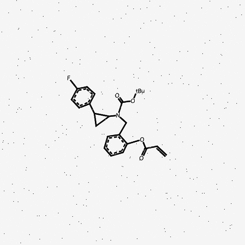 C=CC(=O)Oc1ccccc1CN(C(=O)OC(C)(C)C)C1CC1c1ccc(F)cc1